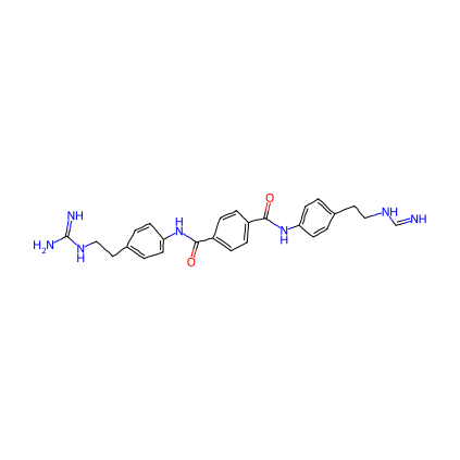 N=CNCCc1ccc(NC(=O)c2ccc(C(=O)Nc3ccc(CCNC(=N)N)cc3)cc2)cc1